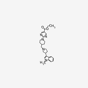 CCOC(=O)c1cnc(N2CCC(CN3CCC(c4cn(C)c5ccccc45)C3)CC2)nc1